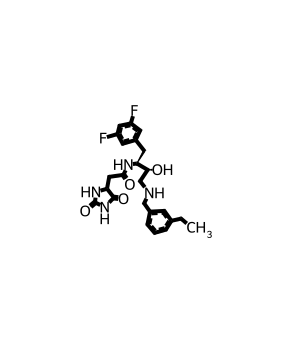 CCc1cccc(CNC[C@@H](O)[C@H](Cc2cc(F)cc(F)c2)NC(=O)CC2NC(=O)NC2=O)c1